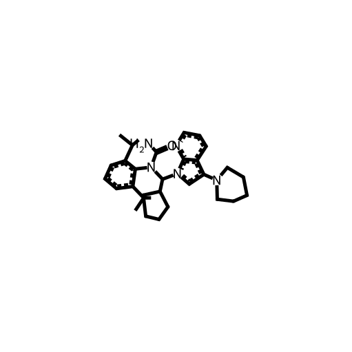 CC(C)c1cccc(C(C)C)c1N(C(N)=O)C(C1CCCC1)n1cc(N2CCCCC2)c2cccnc21